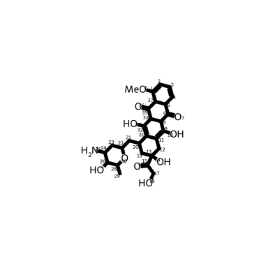 COC1=CC=CC2C(=O)C3C(O)=C4CC(O)(C(=O)CO)CC(CC5CC(N)C(O)C(C)O5)C4=C(O)C3C(=O)C12